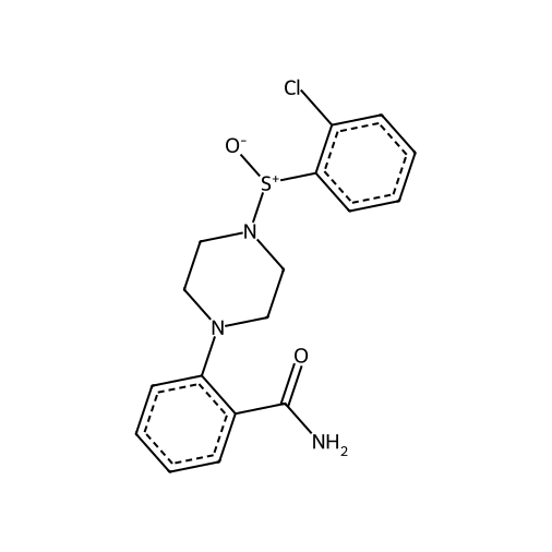 NC(=O)c1ccccc1N1CCN([S+]([O-])c2ccccc2Cl)CC1